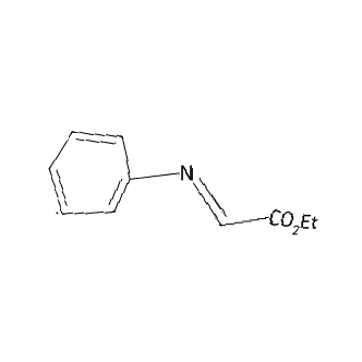 CCOC(=O)C=Nc1c[c]ccc1